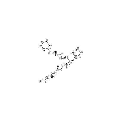 BrCONCONCON[C@H](Cc1ccccc1)ONCONCC1CCCCO1